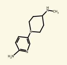 CNC1CCN(c2ccc(N)nc2)CC1